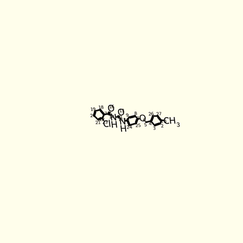 Cc1ccc(COc2ccc(NC(=O)NC(=O)c3ccccc3Cl)cc2)cc1